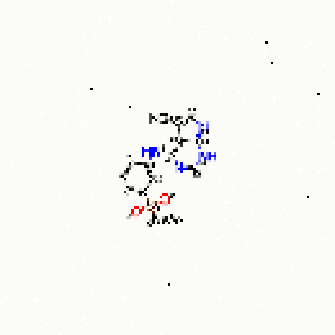 CNS(=O)(=O)c1cccc(Nc2nc[nH]c3ncc(C#N)c2-3)c1